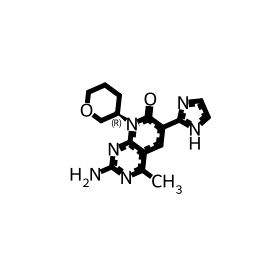 Cc1nc(N)nc2c1cc(-c1ncc[nH]1)c(=O)n2[C@@H]1CCCOC1